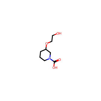 O=C(O)N1CCCC(OCCO)C1